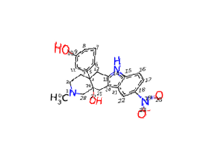 CN1CCC2(c3cccc(O)c3)Cc3[nH]c4ccc([N+](=O)[O-])cc4c3CC2(O)C1